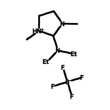 CCN(CC)C1N(C)CC[NH+]1C.F[B-](F)(F)F